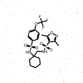 Cc1noc(C)c1S(=O)(=O)NCC1(NS(=O)(=O)c2ccc(OC(F)(F)F)cc2)CCCCC1